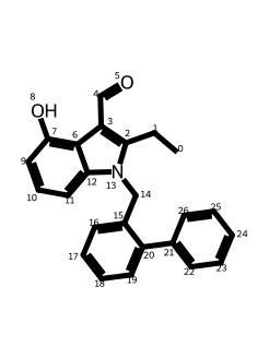 CCc1c(C=O)c2c(O)cccc2n1Cc1ccccc1-c1ccccc1